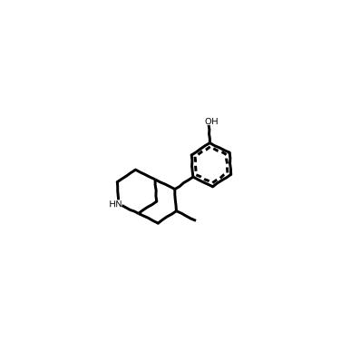 CC1CC2CC(CCN2)C1c1cccc(O)c1